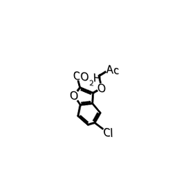 CC(=O)COc1c(C(=O)O)oc2ccc(Cl)cc12